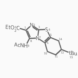 CCOC(=O)c1nc2sc3c(n2c1NC(C)=O)CCC(C(C)(C)C)C3